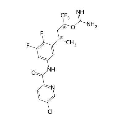 C[C@@H](C[C@@H](OC(=N)N)C(F)(F)F)c1cc(NC(=O)c2ccc(Cl)cn2)cc(F)c1F